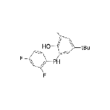 Cc1cc(C(C)(C)C)cc(Pc2ccc(F)cc2F)c1O